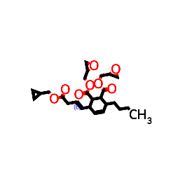 CCCCC1C=CC(/C=C/CC(=O)OCC2CC2)C(C(=O)OCC2CO2)C1C(=O)OCC1CO1